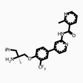 Cc1ncccc1C(=O)Nc1cc(-c2ccc(OC[C@@](C)(N)CC(C)C)c(C(F)(F)F)c2)ccn1